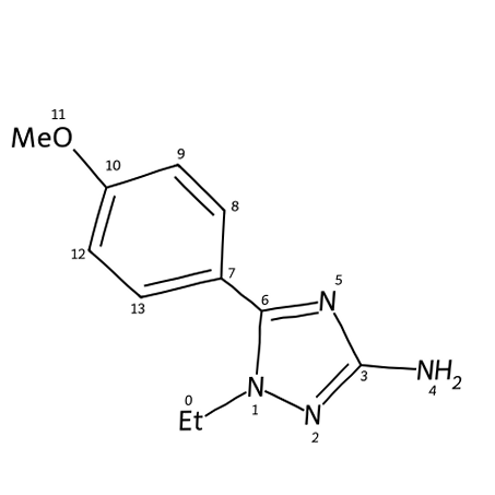 CCn1nc(N)nc1-c1ccc(OC)cc1